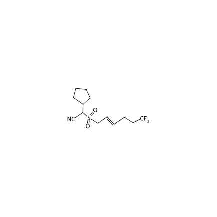 N#CC(C1CCCC1)S(=O)(=O)CC=CCCC(F)(F)F